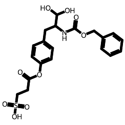 O=C(CCS(=O)(=O)O)Oc1ccc(CC(NC(=O)OCc2ccccc2)C(O)O)cc1